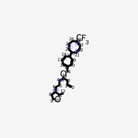 C=CC/C(=C\C/C=C1/CCOC1C)OCC1=CC=CC(C2/C=C\C=C(\C(F)(F)F)C/C=C\2)C=C1